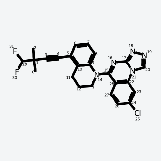 CC(C)(C#Cc1cccc2c1CCCN2c1nc2nncn2c2cc(Cl)ccc12)C(F)F